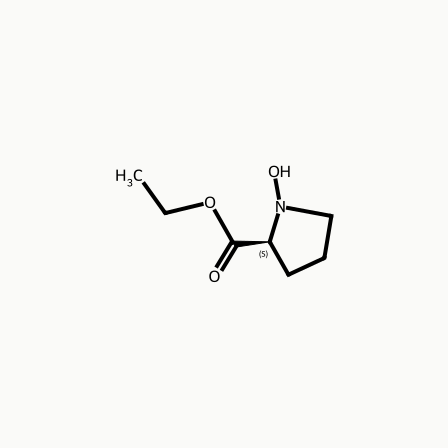 CCOC(=O)[C@@H]1CCCN1O